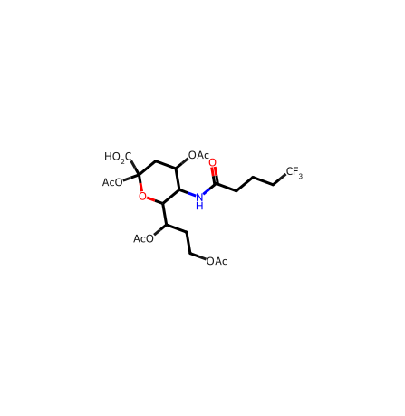 CC(=O)OCCC(OC(C)=O)C1OC(OC(C)=O)(C(=O)O)CC(OC(C)=O)C1NC(=O)CCCC(F)(F)F